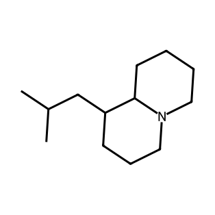 CC(C)CC1CCCN2CCCCC12